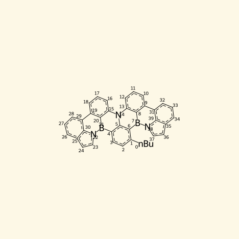 CCCCc1ccc2c3c1B1c4c(cccc4N3c3cccc4c3B2n2ccc3cccc-4c32)-c2cccc3ccn1c23